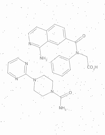 NC(=O)N1CCN(c2ncccn2)CC1.Nc1nccc2ccc(C(=O)N(CC(=O)O)c3ccccc3)cc12